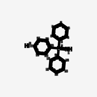 I.N=P(c1ccccc1)(c1ccccc1)c1ccccc1